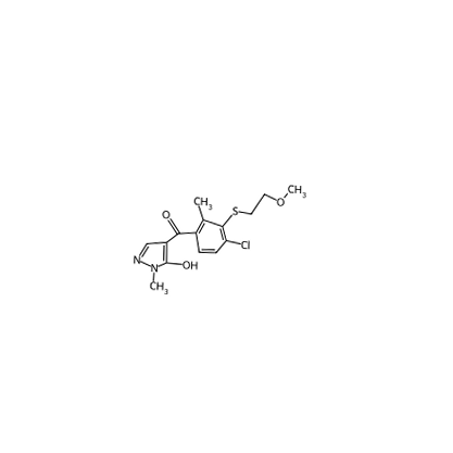 COCCSc1c(Cl)ccc(C(=O)c2cnn(C)c2O)c1C